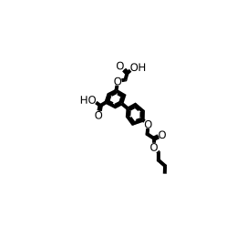 CCCCOC(=O)COc1ccc(-c2cc(OCC(=O)O)cc(C(=O)O)c2)cc1